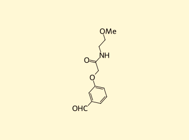 COCCNC(=O)COc1cccc(C=O)c1